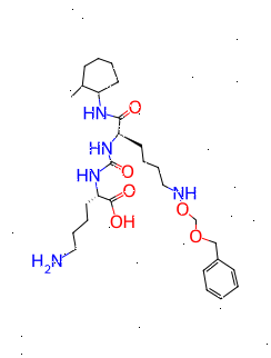 CC1CCCCC1NC(=O)[C@@H](CCCCNOCOCc1ccccc1)NC(=O)N[C@@H](CCCCN)C(=O)O